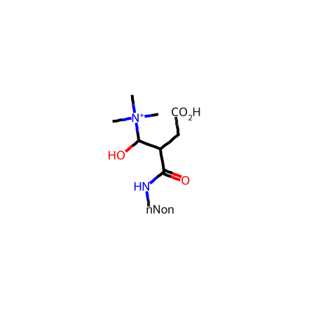 CCCCCCCCCNC(=O)C(CC(=O)O)C(O)[N+](C)(C)C